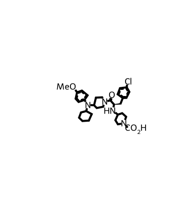 COc1ccc(N(C2CCCCC2)C2CCN(C(=O)[C@@H](Cc3ccc(Cl)cc3)NC3CCN(C(=O)O)CC3)CC2)cc1